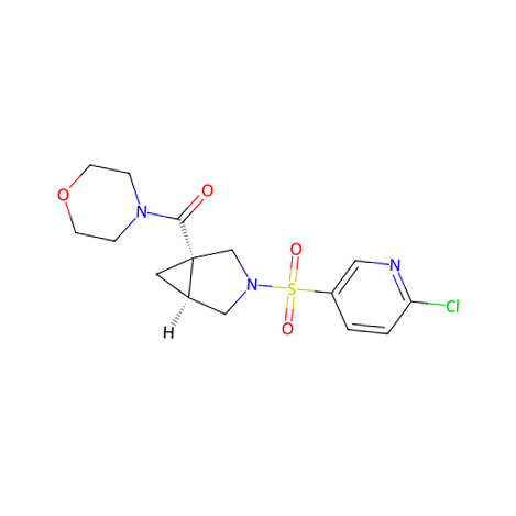 O=C(N1CCOCC1)[C@@]12C[C@@H]1CN(S(=O)(=O)c1ccc(Cl)nc1)C2